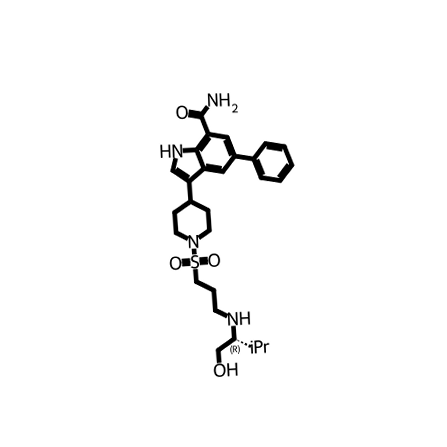 CC(C)[C@H](CO)NCCCS(=O)(=O)N1CCC(c2c[nH]c3c(C(N)=O)cc(-c4ccccc4)cc23)CC1